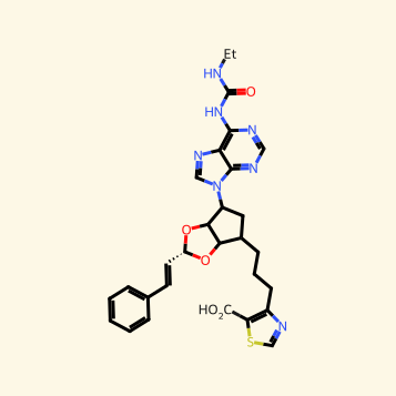 CCNC(=O)Nc1ncnc2c1ncn2C1CC(CCCc2ncsc2C(=O)O)C2O[C@H](/C=C/c3ccccc3)OC21